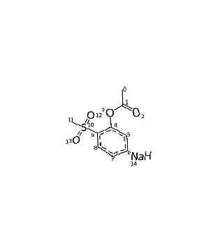 CC(=O)Oc1ccccc1S(C)(=O)=O.[NaH]